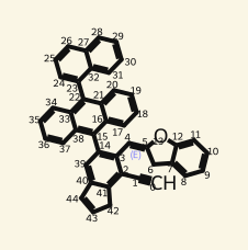 C#Cc1c(/C=C2\Cc3ccccc3O2)c(-c2c3ccccc3c(-c3cccc4ccccc34)c3ccccc23)cc2c1CC=C2